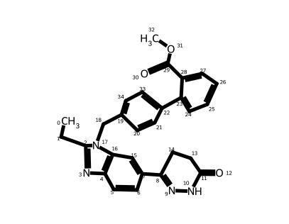 CCc1nc2ccc(C3=NNC(=O)CC3)cc2n1Cc1ccc(-c2ccccc2C(=O)OC)cc1